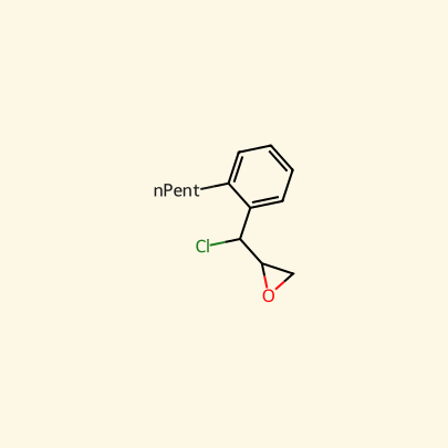 CCCCCc1ccccc1C(Cl)C1CO1